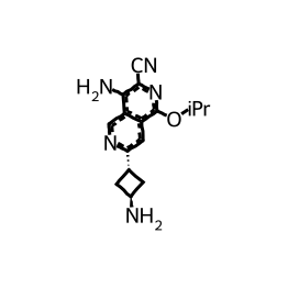 CC(C)Oc1nc(C#N)c(N)c2cnc([C@H]3C[C@H](N)C3)cc12